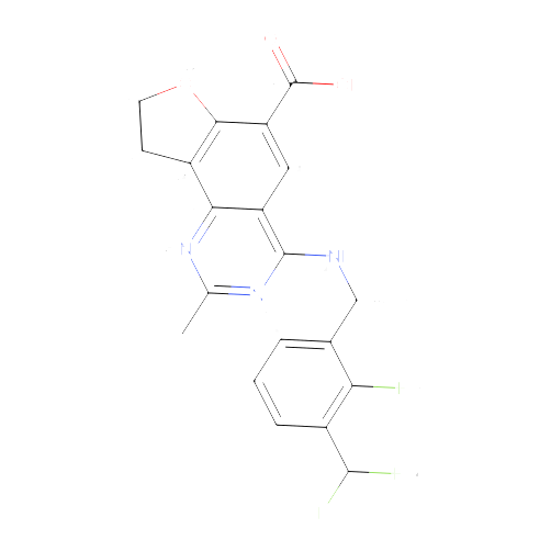 Cc1nc(N[C@H](C)c2cccc(C(F)F)c2F)c2cc(C(=O)O)c3c(c2n1)CCO3